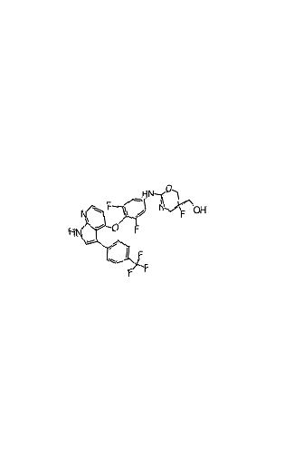 OCC1(F)CN=C(Nc2cc(F)c(Oc3ccnc4[nH]cc(-c5ccc(C(F)(F)F)cc5)c34)c(F)c2)OC1